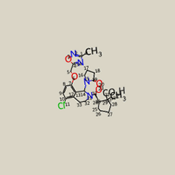 Cc1noc(COc2ccc(Cl)c3c2C(N2CCCC2=O)N(C(=O)[C@@H]2CCCC[C@]2(C)C(=O)O)CC3)n1